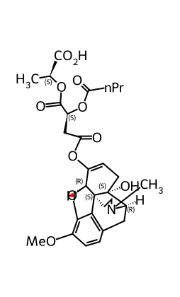 CCCC(=O)O[C@@H](CC(=O)OC1=CC[C@@]2(O)[C@H]3Cc4ccc(OC)c5c4[C@@]2(CCN3C)[C@H]1O5)C(=O)O[C@@H](C)C(=O)O